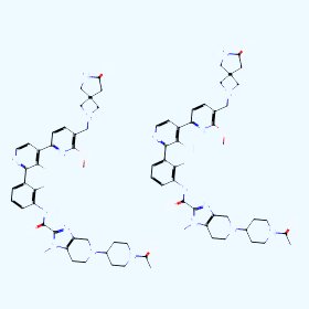 COc1nc(-c2ccnc(-c3cccc(NC(=O)c4nc5c(n4C)CCN(C4CCN(C(C)=O)CC4)C5)c3Cl)c2Cl)ccc1CN1CC2(CNC(=O)C2)C1.COc1nc(-c2ccnc(-c3cccc(NC(=O)c4nc5c(n4C)CCN(C4CCN(C(C)=O)CC4)C5)c3Cl)c2Cl)ccc1CN1CC2(CNC(=O)C2)C1